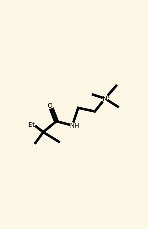 CCC(C)(C)C(=O)NCC[N+](C)(C)C